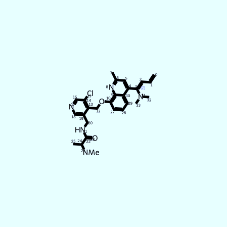 C=C/C=C(/c1cc(C)nc2c(OCc3c(Cl)cncc3CNC(=O)C(C)NC)cccc12)N(C)C